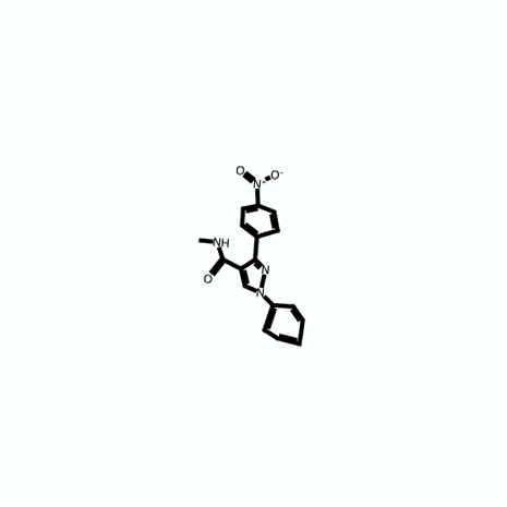 CNC(=O)c1cn(-c2ccccc2)nc1-c1ccc([N+](=O)[O-])cc1